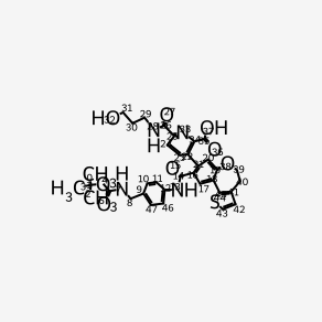 CC(C)(C)OC(=O)NCc1ccc(NC(=O)c2cc3c(cc2-c2ccc(C(=O)NCCCO)nc2C(=O)O)OCCc2ccsc2-3)cc1